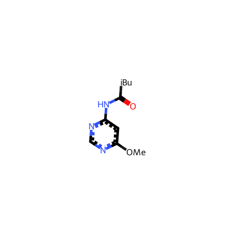 CCC(C)C(=O)Nc1cc(OC)ncn1